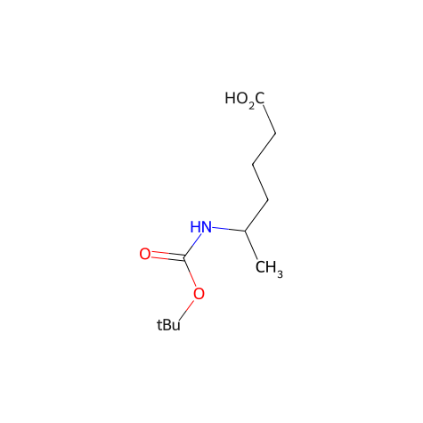 CC(CCCC(=O)O)NC(=O)OC(C)(C)C